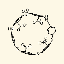 O=[N+]([O-])c1cc2ccc1Nc1ccc(cc1)Sc1ccc(cc1[N+](=O)[O-])Sc1ccc(c([N+](=O)[O-])c1)Sc1ccc(cc1)Nc1ccc(cc1[N+](=O)[O-])S2(=O)=O